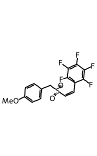 COc1ccc(CS(=O)(=O)/C=C\c2c(F)c(F)c(F)c(F)c2F)cc1